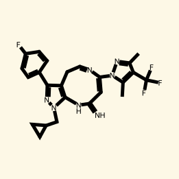 Cc1nn(C2=C/C(=N)Nc3c(c(-c4ccc(F)cc4)nn3CC3CC3)C/C=N\2)c(C)c1C(F)(F)F